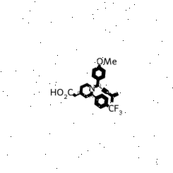 C=C(C)C#C[C@@H](c1ccc(OC)cc1)N1CC[C@H](CC(=O)O)C[C@@H]1c1ccc(C(F)(F)F)cc1